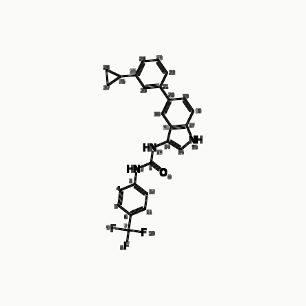 O=C(Nc1ccc(C(F)(F)F)cc1)Nc1c[nH]c2ccc(-c3cccc(C4CC4)c3)cc12